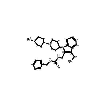 CC(C)[C@H]1CC[C@@H](N2CCC(n3c(CNC(=O)OCc4ccccc4)c(CO)c4ccccc43)CC2)CC1